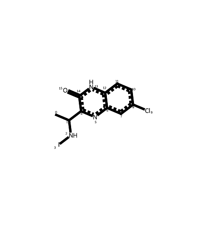 CC(NI)c1nc2cc(Cl)ccc2[nH]c1=O